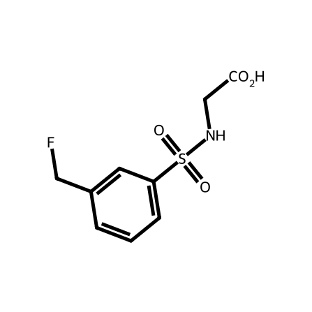 O=C(O)CNS(=O)(=O)c1cccc(CF)c1